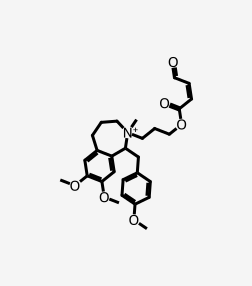 COc1ccc(CC2c3cc(OC)c(OC)cc3CCC[N+]2(C)CCCOC(=O)/C=C\C=O)cc1